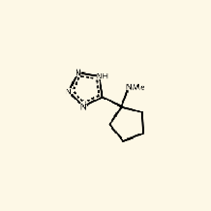 CNC1(c2nnn[nH]2)CCCC1